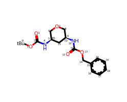 CC(C)(C)OC(=O)N[C@H]1COC[C@@H](NC(=O)OCc2ccccc2)C1